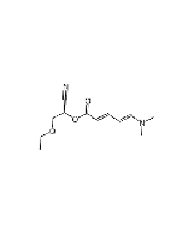 CCOCC(C#N)OC(=O)C=CC=CN(C)C